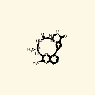 Cc1nc2cccc3c2nc1N[C@H](C)CNC(=O)C[C@H]1CNC(=O)c2cc-3cn21